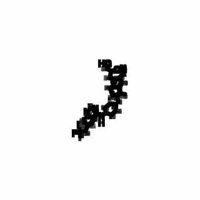 Cc1c(CN2CCC(Nc3ncnc4sc(CC(F)(F)F)cc34)CC2)ccc2c1cc(C#N)n2CC(O)CO